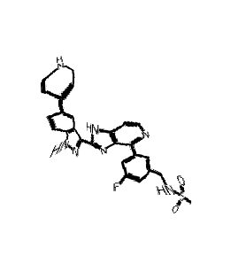 CS(=O)(=O)NCc1cc(F)cc(-c2nccc3[nH]c(-c4n[nH]c5ccc(C6=CCNCC6)cc45)nc23)c1